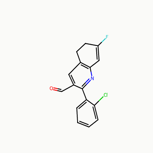 O=Cc1cc2c(nc1-c1ccccc1Cl)C=C(F)CC2